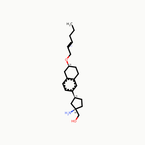 CCC/C=C/CO[C@H]1CCc2cc([C@H]3CC[C@](N)(CO)C3)ccc2C1